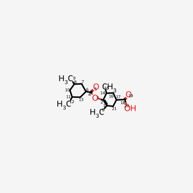 CC1=C(OC(=O)C2CC(C)CC(C)C2)C(C)CC(C(=O)O)C1